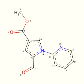 COC(=O)c1cc(C=O)n(-c2ccccn2)c1